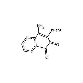 CCCCCC1=C(N)c2ccccc2C(=O)C1=O